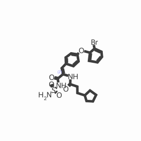 NS(=O)(=O)NC(=O)/C(=C/c1ccc(Oc2ccccc2Br)cc1)NC(=O)CCC1CCCC1